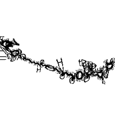 CC(=O)O[C@@H]1[C@H](OC(C)=O)[C@@H](Nc2cncc(C(F)(F)F)n2)CO[C@@H]1COCCCCCCNC(=O)CCOCCNC(=O)CCCC(=O)N1CCC(NC(=O)[C@H](Cc2cc(I)c(Oc3ccc(O)c(I)c3)c(I)c2)NC(=O)OC(C)(C)C)CC1